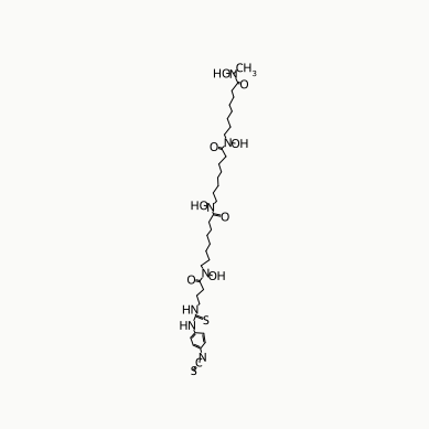 CN(O)C(=O)CCCCCCCN(O)C(=O)CCCCCCCN(O)C(=O)CCCCCCCN(O)C(=O)CCCNC(=S)Nc1ccc(N=C=S)cc1